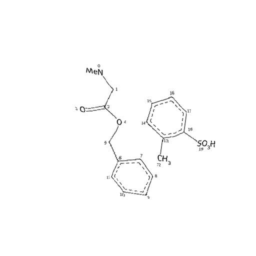 CNCC(=O)OCc1ccccc1.Cc1ccccc1S(=O)(=O)O